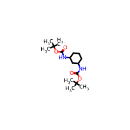 CC(C)(C)OC(=O)NC1CCCC(NC(=O)OC(C)(C)C)C1